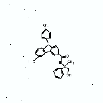 Cc1ccc2c(c1)c1cc(C(=O)N[C@](C)(CO)c3ccccc3)ccc1n2-c1ccc(C(F)(F)F)cc1